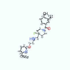 CCc1cc(C(=O)N2CCC(F)(CNCCOc3cccc(OC)n3)CC2)ccc1C